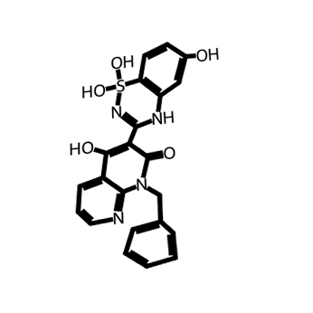 O=c1c(C2=NS(O)(O)c3ccc(O)cc3N2)c(O)c2cccnc2n1Cc1ccccc1